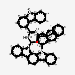 c1ccc(C2=NC(n3c4ccccc4c4ccc5c6ccccc6n(-c6cccc(-c7ccccc7)c6)c5c43)NC(c3cccc4oc5ccccc5c34)=N2)cc1